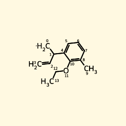 [CH2]C(C=C)c1cccc(C)c1OCC